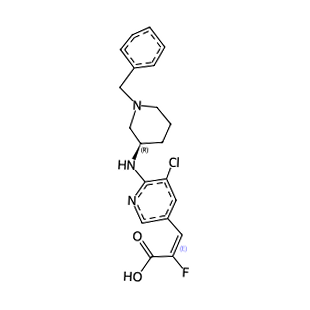 O=C(O)/C(F)=C\c1cnc(N[C@@H]2CCCN(Cc3ccccc3)C2)c(Cl)c1